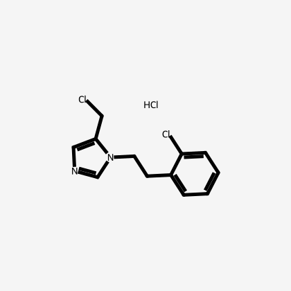 Cl.ClCc1cncn1CCc1ccccc1Cl